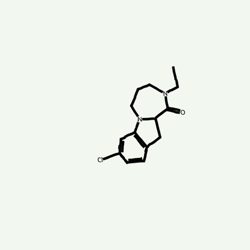 CCN1CCCN2c3cc(Cl)ccc3CC2C1=O